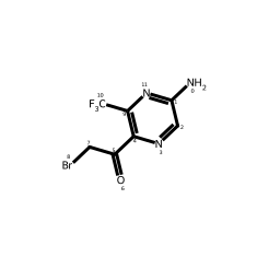 Nc1cnc(C(=O)CBr)c(C(F)(F)F)n1